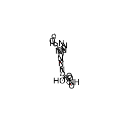 Nc1ncnc2c1c(-c1ccc(Oc3ccccc3)cc1)nn2C1CCN(C2CN(C3CN(c4ccc5c(c4)C(=O)N(C4CCC(=O)NC4=O)C5O)C3)C2)C[C@@H]1F